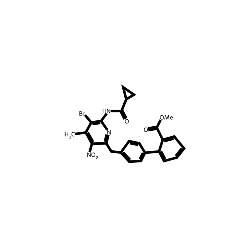 COC(=O)c1ccccc1-c1ccc(Cc2nc(NC(=O)C3CC3)c(Br)c(C)c2[N+](=O)[O-])cc1